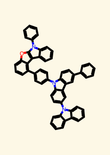 c1ccc(-c2ccc3c(c2)c2cc(-n4c5ccccc5c5ccccc54)ccc2n3-c2ccc(-c3cccc4oc5c(c6ccccc6n5-c5ccccc5)c34)cc2)cc1